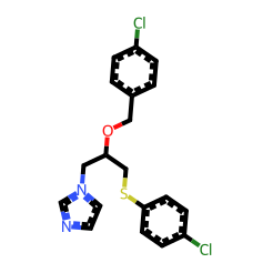 Clc1ccc(COC(CSc2ccc(Cl)cc2)Cn2ccnc2)cc1